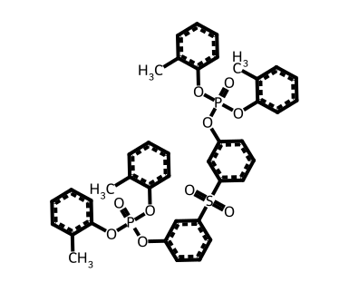 Cc1ccccc1OP(=O)(Oc1cccc(S(=O)(=O)c2cccc(OP(=O)(Oc3ccccc3C)Oc3ccccc3C)c2)c1)Oc1ccccc1C